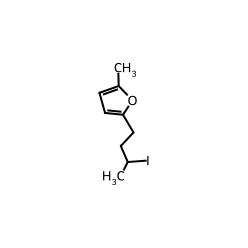 Cc1ccc(CCC(C)I)o1